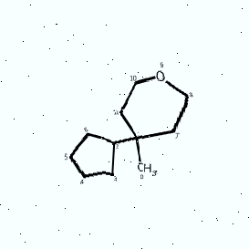 CC1(C2CCCC2)CCOCC1